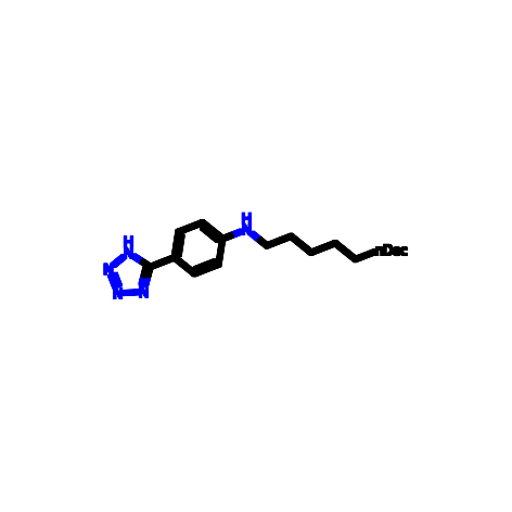 CCCCCCCCCCCCCCCNc1ccc(-c2nnn[nH]2)cc1